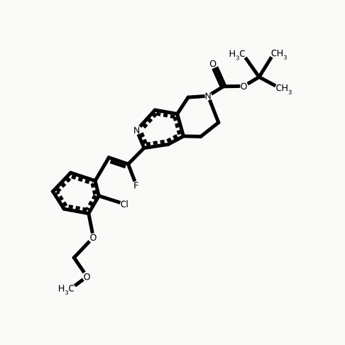 COCOc1cccc(/C=C(\F)c2cc3c(cn2)CN(C(=O)OC(C)(C)C)CC3)c1Cl